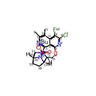 Cc1nc2c3c(nc(Cl)c(F)c3c1C)OC[C@@H]1[C@@H]3CC[C@H](CN21)N3C(=O)OC(C)(C)C